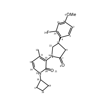 COc1ccc([C@H]2CC(=O)N(c3c(C)ccn(C4CCC4)c3=O)C2)c(F)c1